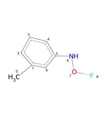 Cc1cccc(NOF)c1